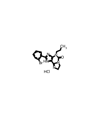 CCCN1C(=O)N2CCN=C2c2[nH]c(-c3ccccc3Br)nc21.Cl